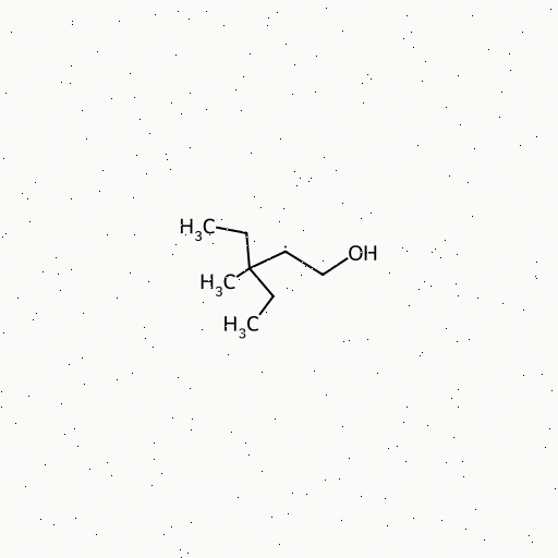 CCC(C)([CH]CO)CC